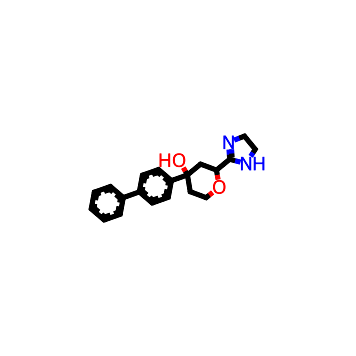 OC1(c2ccc(-c3ccccc3)cc2)CCOC(C2=NCCN2)C1